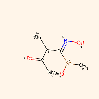 CNC(=O)C(C(=NO)[S+](C)[O-])C(C)(C)C